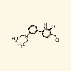 CCN(CC)c1cccc(-c2ccc(CCl)c(=O)[nH]2)c1